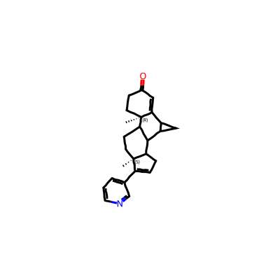 C[C@]12CCC(=O)C=C1C1CC1C1C2CC[C@]2(C)C(c3cccnc3)=CCC12